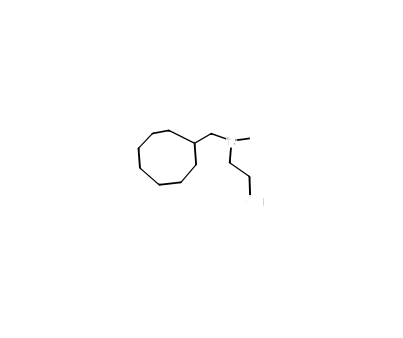 CN(CCO)CC1CCCCCCC1